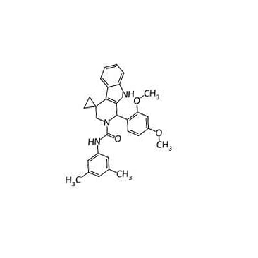 COc1ccc(C2c3[nH]c4ccccc4c3C3(CC3)CN2C(=O)Nc2cc(C)cc(C)c2)c(OC)c1